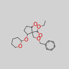 CCOC(=O)C1(COCc2ccccc2)C(=O)CCC1OC1CCCCO1